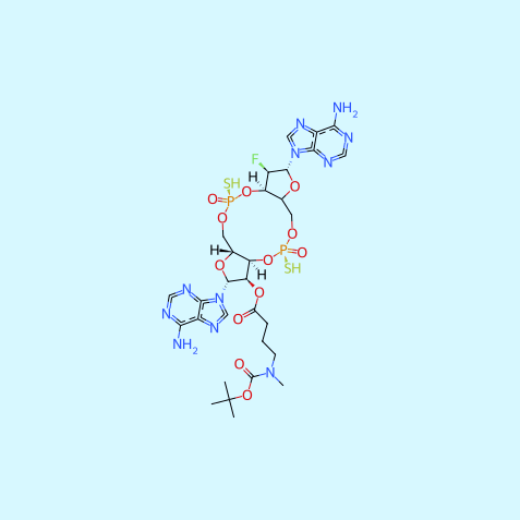 CN(CCCC(=O)O[C@@H]1[C@@H]2O[P@](=O)(S)OCC3O[C@@H](n4cnc5c(N)ncnc54)[C@H](F)[C@@H]3O[P@](=O)(S)OC[C@H]2O[C@H]1n1cnc2c(N)ncnc21)C(=O)OC(C)(C)C